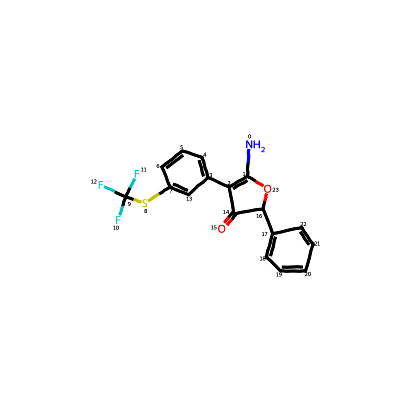 NC1=C(c2cccc(SC(F)(F)F)c2)C(=O)C(c2ccccc2)O1